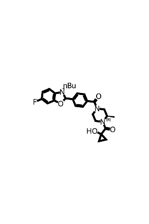 CCCCN1c2ccc(F)cc2OC1c1ccc(C(=O)N2CCN(C(=O)C3(O)CC3)[C@H](C)C2)cc1